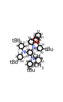 CC(C)(C)c1ccc(N2c3ccc(C(C)(C)C)cc3B3c4ccc5c(oc6ccccc65)c4N(c4ccc(C(C)(C)C)cc4-c4ccccc4)c4cc(N5c6ccc(C(C)(C)C)cc6C6(C)CCCCC56C)cc2c43)cc1